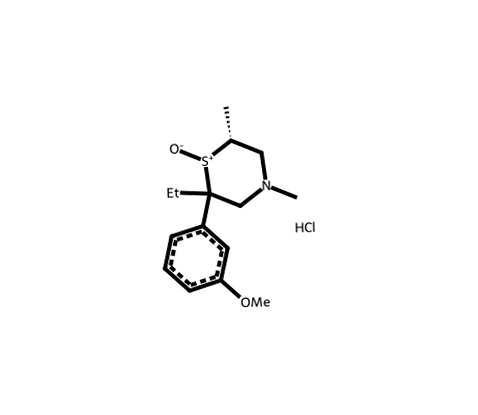 CCC1(c2cccc(OC)c2)CN(C)C[C@@H](C)[S+]1[O-].Cl